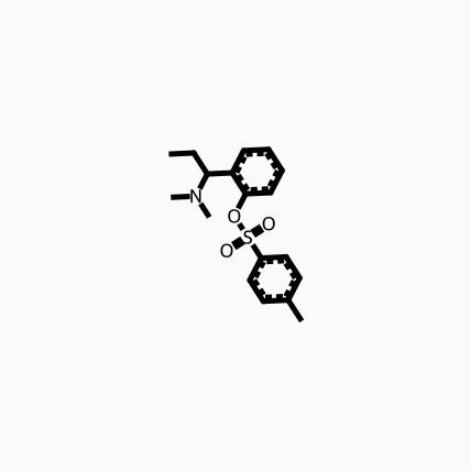 CCC(c1ccccc1OS(=O)(=O)c1ccc(C)cc1)N(C)C